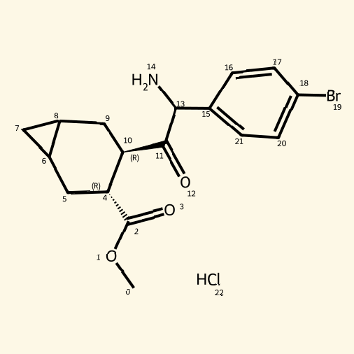 COC(=O)[C@@H]1CC2CC2C[C@H]1C(=O)C(N)c1ccc(Br)cc1.Cl